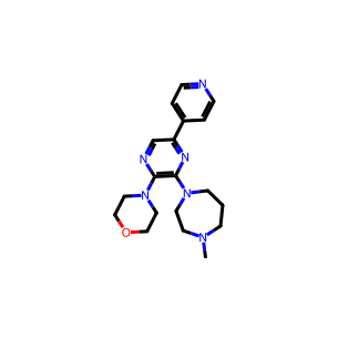 CN1CCCN(c2nc(-c3ccncc3)cnc2N2CCOCC2)CC1